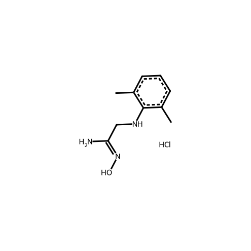 Cc1cccc(C)c1NCC(N)=NO.Cl